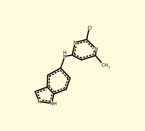 Cc1cc(Nc2ccc3[nH]ncc3c2)nc(Cl)n1